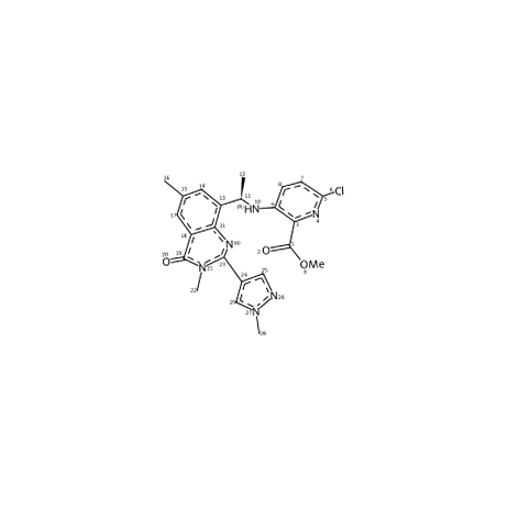 COC(=O)c1nc(Cl)ccc1N[C@H](C)c1cc(C)cc2c(=O)n(C)c(-c3cnn(C)c3)nc12